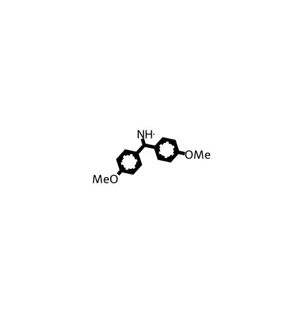 COc1ccc(C([NH])c2ccc(OC)cc2)cc1